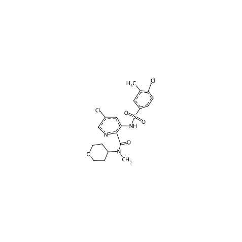 Cc1cc(S(=O)(=O)Nc2cc(Cl)cnc2C(=O)N(C)C2CCOCC2)ccc1Cl